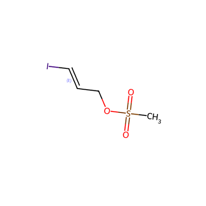 CS(=O)(=O)OC/C=C/I